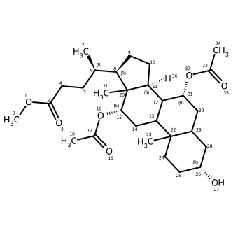 COC(=O)CC[C@@H](C)[C@H]1CC[C@H]2C3C(C[C@H](OC(C)=O)C12C)C1(C)CC[C@@H](O)CC1C[C@H]3OC(C)=O